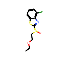 CCOCC[S+]([O-])c1nc2c(Cl)cccc2s1